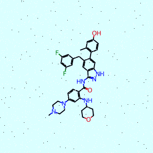 Cc1cc(O)ccc1-c1cc2[nH]nc(NC(=O)c3ccc(N4CCN(C)CC4)cc3NC3CCOCC3)c2cc1Cc1cc(F)cc(F)c1